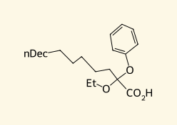 CCCCCCCCCCCCCCCC(OCC)(Oc1ccccc1)C(=O)O